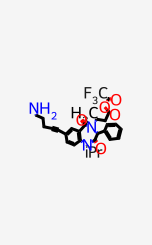 CC(C)N1C(=O)C(c2ccccc2)N(C(C)CC(=O)OC(=O)C(F)(F)F)C(=O)c2cc(C#CCCCN)ccc21